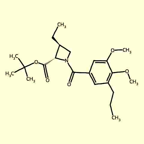 CCCc1cc(C(=O)N2C[C@H](CC)[C@H]2C(=O)OC(C)(C)C)cc(OC)c1OC